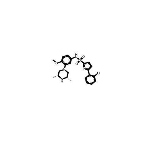 COc1ccc(NS(=O)(=O)c2ccc(-c3ccccc3Cl)s2)cc1N1C[C@@H](C)N[C@@H](C)C1